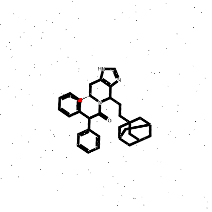 O=C(O)[C@@H]1Cc2[nH]cnc2C(CCC23CC4CC(CC(C4)C2)C3)N1C(=O)C(c1ccccc1)c1ccccc1